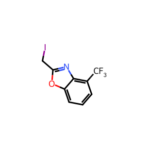 FC(F)(F)c1cccc2oc(CI)nc12